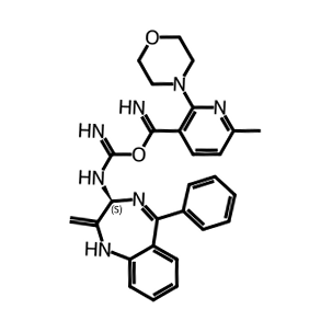 C=C1Nc2ccccc2C(c2ccccc2)=N[C@@H]1NC(=N)OC(=N)c1ccc(C)nc1N1CCOCC1